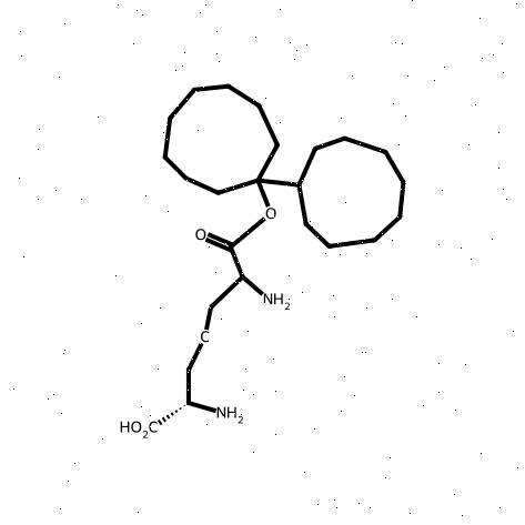 NC(CCC[C@H](N)C(=O)O)C(=O)OC1(C2CCCCCCCC2)CCCCCCCC1